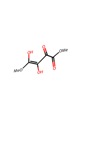 COC(=O)C(=O)C(O)=C(O)OC